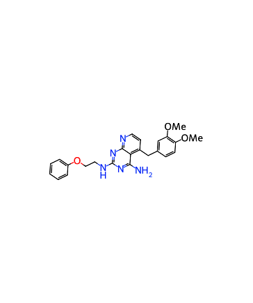 COc1ccc(Cc2ccnc3nc(NCCOc4ccccc4)nc(N)c23)cc1OC